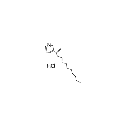 C=C(CCCCCCCCCC)c1cccnc1.Cl